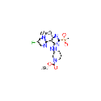 COc1nc(S(C)(=O)=O)nc(NC2CCCN(C(=O)OC(C)(C)C)C2)c1-c1ncc(F)cn1